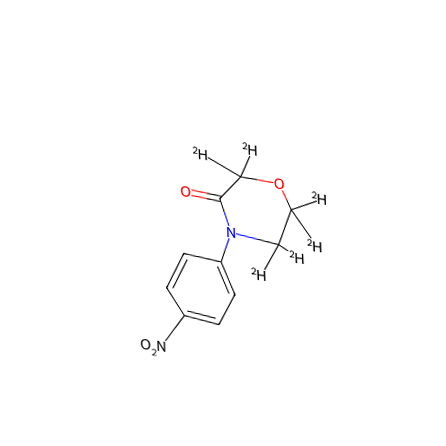 [2H]C1([2H])OC([2H])([2H])C([2H])([2H])N(c2ccc([N+](=O)[O-])cc2)C1=O